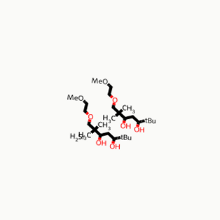 COCCOCC(C)(C)C(O)CC(O)C(C)(C)C.COCCOCC(C)(C)C(O)CC(O)C(C)(C)C.[SrH2]